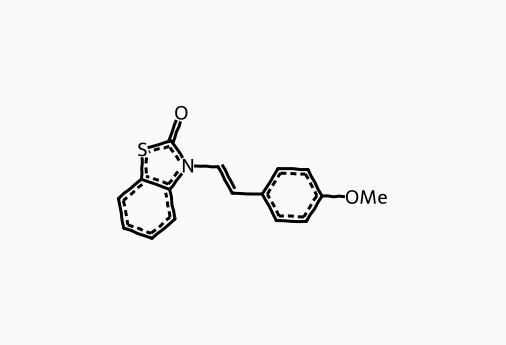 COc1ccc(C=Cn2c(=O)sc3ccccc32)cc1